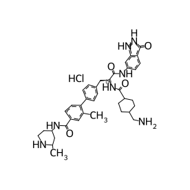 Cc1cc(C(=O)NC2CCNC(C)C2)ccc1-c1ccc(C[C@H](NC(=O)C2CCC(CN)CC2)C(=O)Nc2ccc3c(=O)[nH][nH]c3c2)cc1.Cl